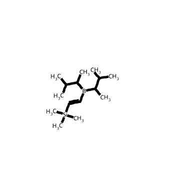 CC(C)C(C)B(C=C[Si](C)(C)C)C(C)C(C)C